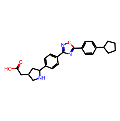 O=C(O)CC1CNC(c2ccc(-c3noc(-c4ccc(C5CCCC5)cc4)n3)cc2)C1